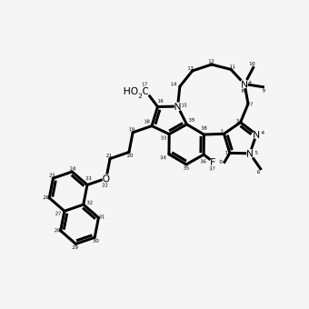 Cc1c2c(nn1C)C[N+](C)(C)CCCCn1c(C(=O)O)c(CCCOc3cccc4ccccc34)c3ccc(F)c-2c31